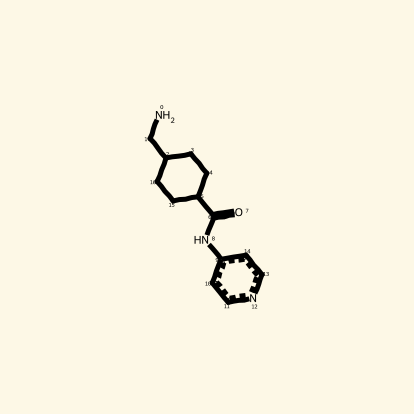 NCC1CCC(C(=O)Nc2ccncc2)CC1